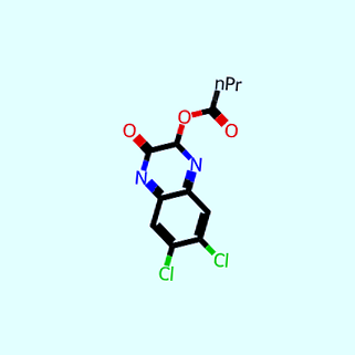 CCCC(=O)OC1N=c2cc(Cl)c(Cl)cc2=NC1=O